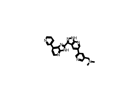 CN(C)Cc1cncc(-c2cnc3[nH]nc(-c4nc5c(-c6cccnc6)ccnc5[nH]4)c3c2)c1